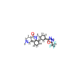 CN1CCC(C(=O)N(Cc2ccc(-c3nnc(C(F)(F)F)o3)cc2)c2ccccc2)CC1